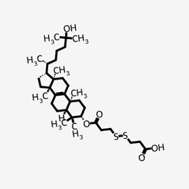 C[C@H](CCCC(C)(C)O)[C@H]1CC[C@@]2(C)C3=C(CC[C@]12C)[C@@]1(C)CC[C@H](OC(=O)CCSSCCC(=O)O)C(C)(C)[C@@H]1CC3